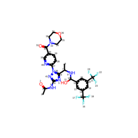 CC(=O)Nc1nc(C(C)NC(O)c2cc(C(F)(F)F)cc(C(F)(F)F)c2)n(-c2ccc(C(=O)N3CCOCC3)cn2)n1